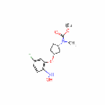 CN(C(=O)OC(C)(C)C)[C@H]1CC[C@H](Oc2cc(F)ccc2NO)C1